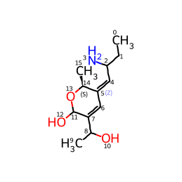 CCC(N)/C=C1/C=C(C(C)O)C(O)O[C@H]1C